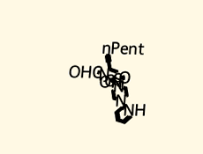 CCCCCC#CC(CS(=O)(=O)N1CCN(C2C=CC=CN2)CC1)N(O)C=O